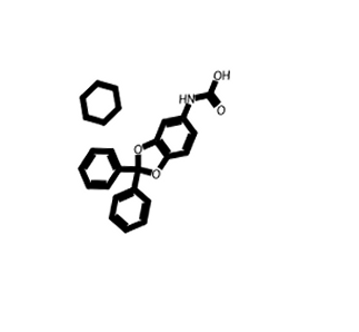 C1CCCCC1.O=C(O)Nc1ccc2c(c1)OC(c1ccccc1)(c1ccccc1)O2